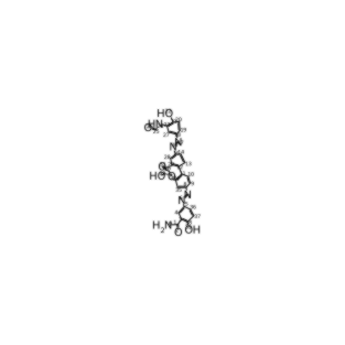 NC(=O)c1cc(N=Nc2ccc(-c3ccc(N=Nc4ccc(O)c(NC=O)c4)cc3S(=O)(=O)O)cc2)ccc1O